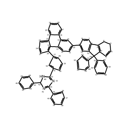 C1=CC2=C(CC1)c1ccc(-c3ccc4c(c3)c3ccccc3c3cccc(-c5cccc(C6=NC(c7ccccc7)=NC(c7ccccc7)N6)c5)c34)cc1C2(c1ccccc1)c1ccccc1